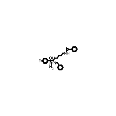 NC(O)(c1ccc(F)cc1)C(CCCCCNC1CC1c1ccccc1)NCc1ccccc1